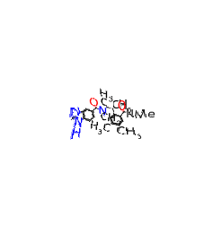 C=C(c1cc(C)c(C)cc1C(=O)NC)C(C)N(C)C(=O)c1ccc2[nH]cnc2c1